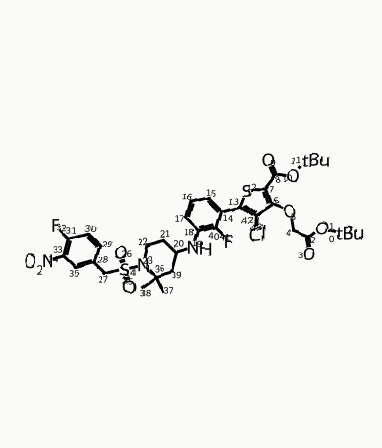 CC(C)(C)OC(=O)COc1c(C(=O)OC(C)(C)C)sc(-c2cccc(NC3CCN(S(=O)(=O)Cc4ccc(F)c([N+](=O)[O-])c4)C(C)(C)C3)c2F)c1Cl